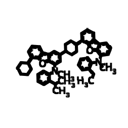 CCc1ccccc1N(C)c1cccc2c1oc1c(C3CCC(c4cc(N(C)c5ccccc5C(C)C)c5oc6c(C7CCCCC7)cccc6c5c4)CC3)cccc12